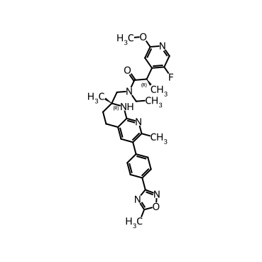 CCN(C[C@@]1(C)CCc2cc(-c3ccc(-c4noc(C)n4)cc3)c(C)nc2N1)C(=O)[C@H](C)c1cc(OC)ncc1F